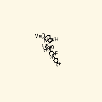 COc1ccc2[nH]cc(NC(=O)Nc3cnc(C4CCC(F)(F)CC4)c(F)c3)c2n1